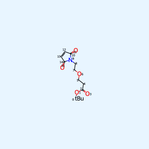 CC(C)(C)OC(=O)CCOCCN1C(=O)C=CC1=O